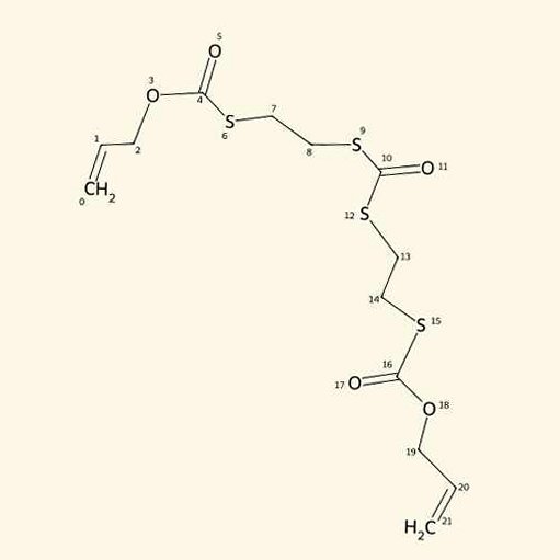 C=CCOC(=O)SCCSC(=O)SCCSC(=O)OCC=C